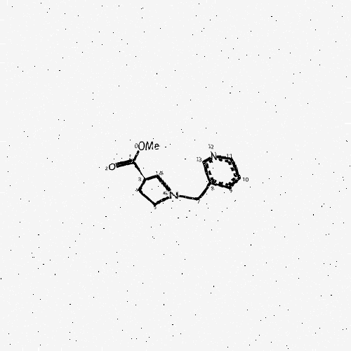 COC(=O)[C@@H]1CCN(Cc2cccnc2)C1